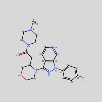 CN1CCN(C(=O)CC2COCCN2c2nn(-c3ccc(Cl)cc3)c3cnccc23)CC1